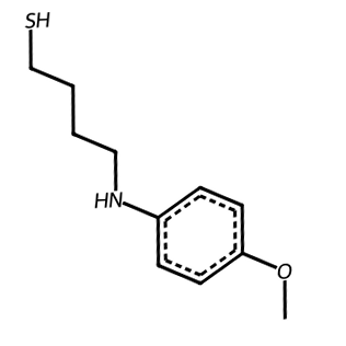 COc1ccc(NCCCCS)cc1